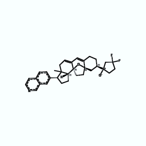 CC12CC=C3C=C4CC[C@@H]([N+]5([O-])CCC(F)(F)C5)C[C@]45CC[C@]3(O5)[C@@H]1CCC2c1ccc2ccncc2c1